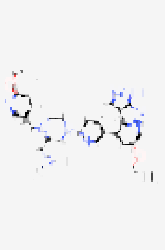 CCOc1cc(-c2ccc(N3CCN(Cc4ccc(OC)nc4)C(CN(C)C)C3)nc2)c2c3cn[nH]c3nn2c1